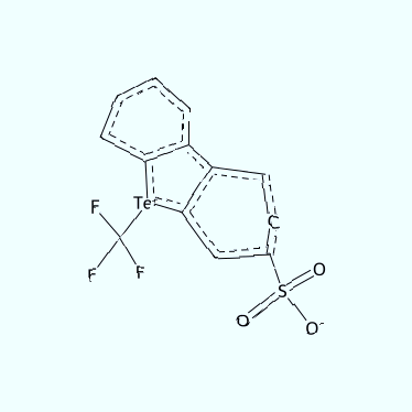 O=S(=O)([O-])c1ccc2c3ccccc3[te+](C(F)(F)F)c2c1